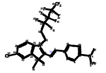 CCCN(C)c1ccc(/C=C/C2=[N+](CCC(F)(F)C(F)(F)C(F)(F)C(F)(F)F)c3ccc(Cl)cc3C2(C)C)cc1